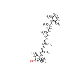 CC1=C(/C=C/C(C)=C/C=C/C(C)=C/C=C/C=C(C)/C=C/C=C(C)/C=C/c2c(C)ccc(C)c2C)C(C)(C)CC(O)C1